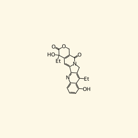 CCc1c2c(nc3cccc(O)c13)-c1cc3c(c(=O)n1C2)COC(=O)C3(O)CC